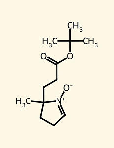 CC(C)(C)OC(=O)CCC1(C)CCC=[N+]1[O-]